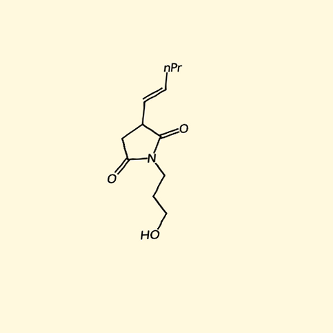 CCCC=CC1CC(=O)N(CCCO)C1=O